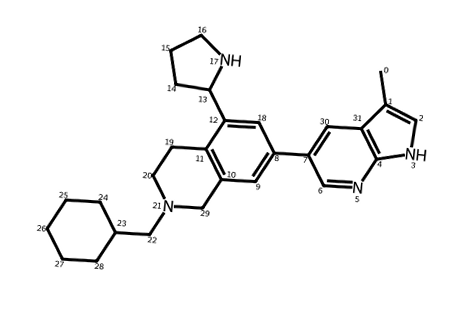 Cc1c[nH]c2ncc(-c3cc4c(c(C5CCCN5)c3)CCN(CC3CCCCC3)C4)cc12